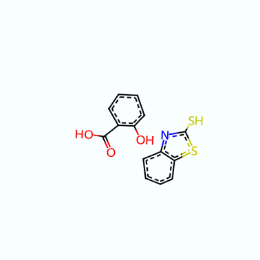 O=C(O)c1ccccc1O.Sc1nc2ccccc2s1